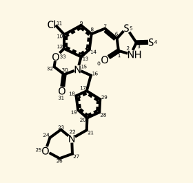 O=C1NC(=S)SC1=Cc1cc(Cl)c2c(c1)N(Cc1ccc(CN3CCOCC3)cc1)C(=O)CO2